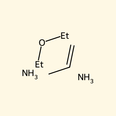 C=CC.CCOCC.N.N